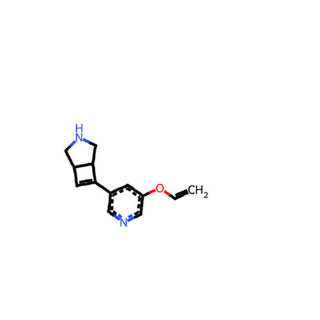 C=COc1cncc(C2=CC3CNCC23)c1